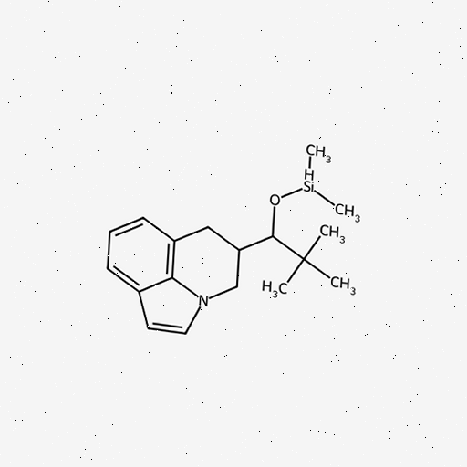 C[SiH](C)OC(C1Cc2cccc3ccn(c23)C1)C(C)(C)C